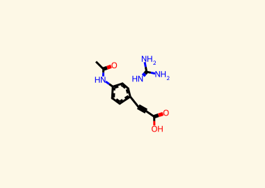 CC(=O)Nc1ccc(C#CC(=O)O)cc1.N=C(N)N